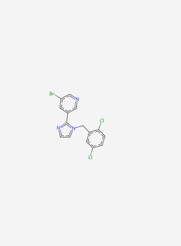 Clc1ccc(Cl)c(Cn2ccnc2-c2cncc(Br)c2)c1